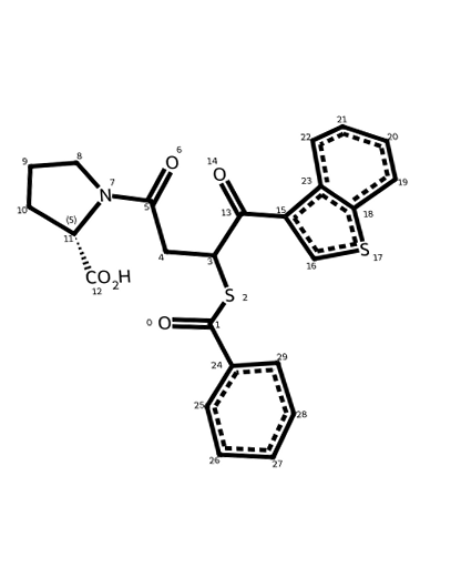 O=C(SC(CC(=O)N1CCC[C@H]1C(=O)O)C(=O)c1csc2ccccc12)c1ccccc1